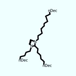 CCCCCCCCCCCCCCCCCCCN1C=CN(CCCCCCCCCCCCCC)C1CCCCCCCCCCCCCCC